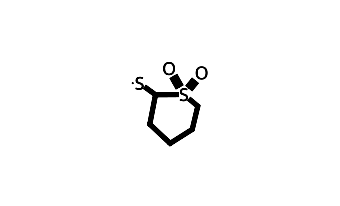 O=S1(=O)CCCCC1[S]